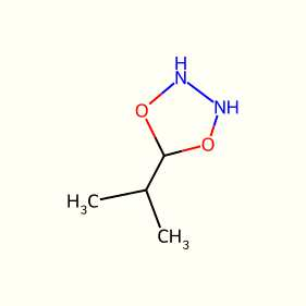 CC(C)C1ONNO1